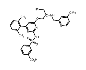 COc1ccnc(CN[C@@H](COc2cc(-c3c(C)cccc3C)nc(NS(=O)(=O)c3cccc(C(=O)O)c3)n2)CC(C)C)c1